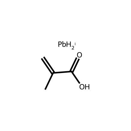 C=C(C)C(=O)O.[PbH2]